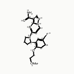 COCCOC1=C([C@H]2CCCN2c2ccn3ncc(C(N)=O)c3n2)C=C(F)CC1